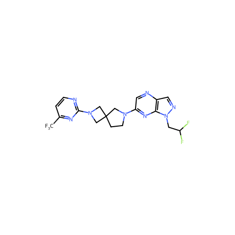 FC(F)Cn1ncc2ncc(N3CCC4(C3)CN(c3nccc(C(F)(F)F)n3)C4)nc21